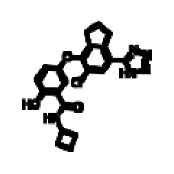 O=C(NC1CCC1)c1cc(Oc2c(Cl)cc(-c3nnn[nH]3)c3c2CCC3)ccc1O